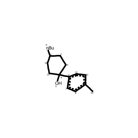 CCCCC1CCC(O)(c2ccc(C)cc2)CC1